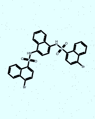 O=S(=O)(Nc1ccc(NS(=O)(=O)c2ccc(Br)c3ccccc23)c2ccccc12)c1ccc(Br)c2ccccc12